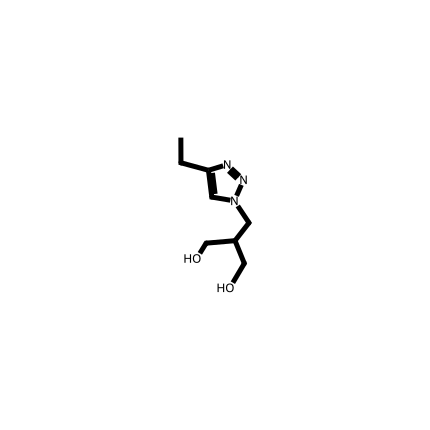 CCc1cn(CC(CO)CO)nn1